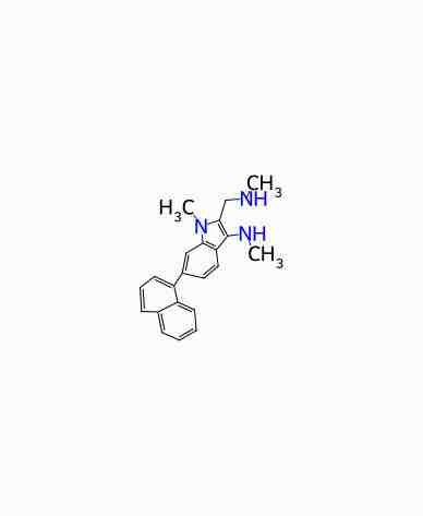 CNCc1c(NC)c2ccc(-c3cccc4ccccc34)cc2n1C